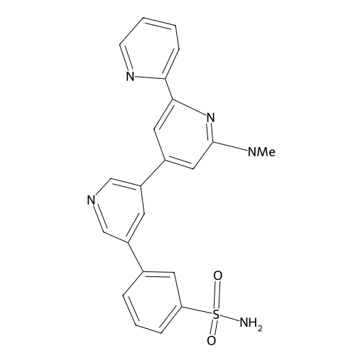 CNc1cc(-c2cncc(-c3cccc(S(N)(=O)=O)c3)c2)cc(-c2ccccn2)n1